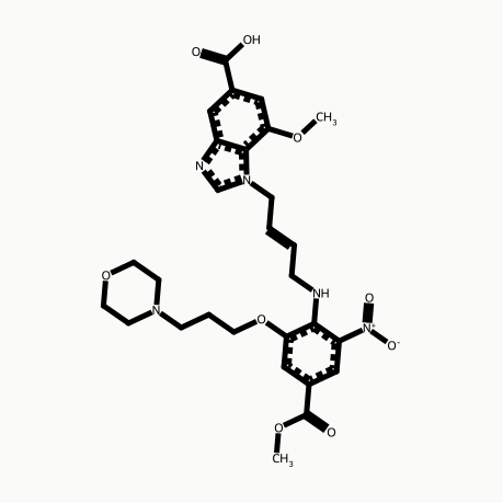 COC(=O)c1cc(OCCCN2CCOCC2)c(NCC=CCn2cnc3cc(C(=O)O)cc(OC)c32)c([N+](=O)[O-])c1